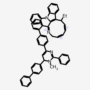 CCC1/C=C\C=C/C/N=C(/c2ccccc2-c2ccc(C3=CC(c4ccc(-c5ccccc5)cc4)N(C)C(c4ccccc4)=N3)cc2)c2c1c1ccccc1n2-c1ccccc1